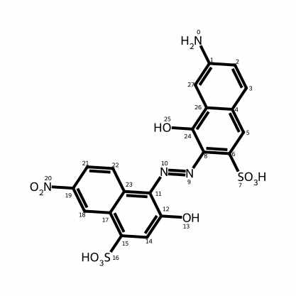 Nc1ccc2cc(S(=O)(=O)O)c(N=Nc3c(O)cc(S(=O)(=O)O)c4cc([N+](=O)[O-])ccc34)c(O)c2c1